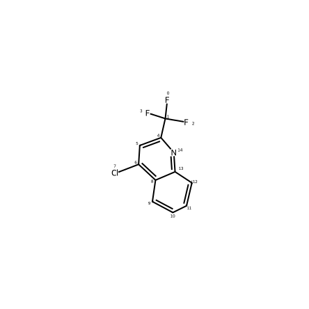 FC(F)(F)c1cc(Cl)c2ccc[c]c2n1